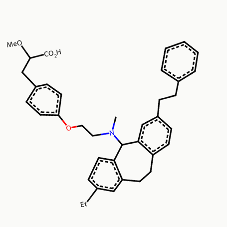 CCc1ccc2c(c1)CCc1ccc(CCc3ccccc3)cc1C2N(C)CCOc1ccc(CC(OC)C(=O)O)cc1